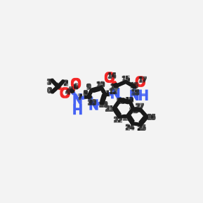 CC(C)(C)OC(=O)Nc1ccc(N2C(=O)CC(=O)Nc3c2ccc2ccccc32)cn1